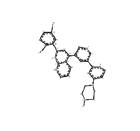 CN1CCN(c2ccnc(-c3cncc(-c4cc(-c5cc(F)ccc5F)nc5ncccc45)c3)c2)CC1